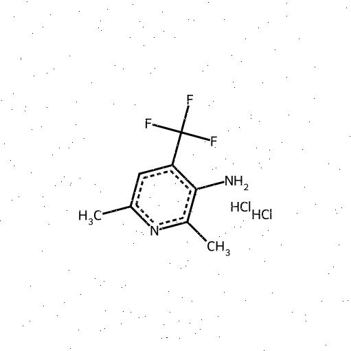 Cc1cc(C(F)(F)F)c(N)c(C)n1.Cl.Cl